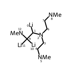 [Li][CH](N(CCNC)CCNC)[C]([Li])([Li])NC